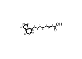 O=C(O)C=CCCCCCc1cccc2cncn12